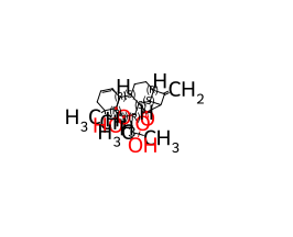 C=C1C2C(=O)[C@]34[C@H]2[C@H]1CC[C@H]3[C@]12C=CCC(C)(C)[C@H]1[C@H](O)[C@@]4(OC(C)(C)O)OC2